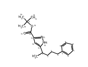 CC(CCCc1ccccc1)c1cc(C(=O)OC(C)(C)C)n[nH]1